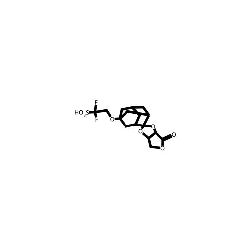 O=C1OCC2OC3(OC12)C1CC2CC3CC(OCC(F)(F)S(=O)(=O)O)(C2)C1